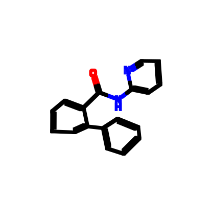 O=C(Nc1ccccn1)c1ccccc1-c1ccccc1